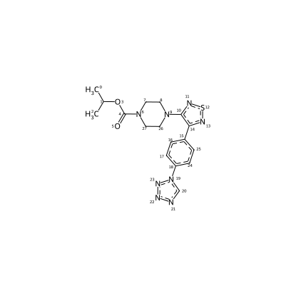 CC(C)OC(=O)N1CCN(c2nsnc2-c2ccc(-n3cnnn3)cc2)CC1